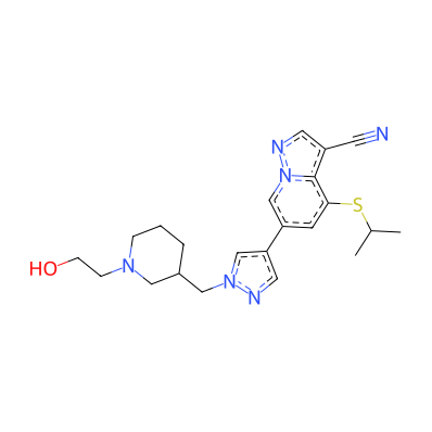 CC(C)Sc1cc(-c2cnn(CC3CCCN(CCO)C3)c2)cn2ncc(C#N)c12